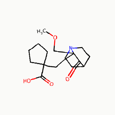 COCC1(CC2(C(=O)O)CCCC2)C(=O)C2CCN1CC2